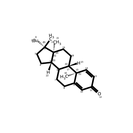 CC(C)(C)[C@@]1(C)CC[C@H]2C3CCC4=CC(=O)C=C[C@]4(C)[C@H]3CC[C@@]21C